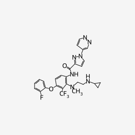 CN(CCNC1CC1)c1c(NC(=O)c2ccn(-c3ccnnc3)n2)ccc(Oc2ccccc2F)c1C(F)(F)F